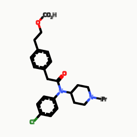 CC(C)N1CCC(N(C(=O)Cc2ccc(CCOC(=O)O)cc2)c2ccc(Cl)cc2)CC1